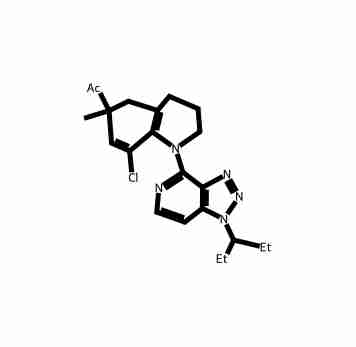 CCC(CC)n1nnc2c(N3CCCC4=C3C(Cl)=CC(C)(C(C)=O)C4)nccc21